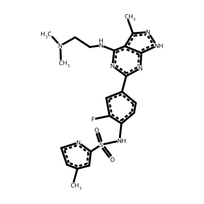 Cc1ccnc(S(=O)(=O)Nc2ccc(-c3nc(NCCN(C)C)c4c(C)n[nH]c4n3)cc2F)c1